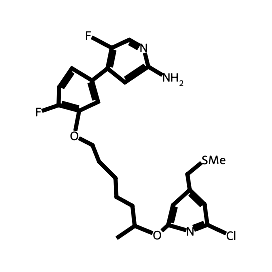 CSCc1cc(Cl)nc(OC(C)CCCCCOc2cc(-c3cc(N)ncc3F)ccc2F)c1